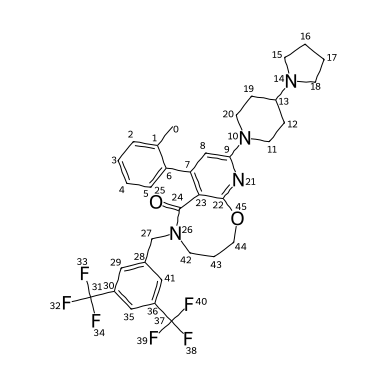 Cc1ccccc1-c1cc(N2CCC(N3CCCC3)CC2)nc2c1C(=O)N(Cc1cc(C(F)(F)F)cc(C(F)(F)F)c1)CCCO2